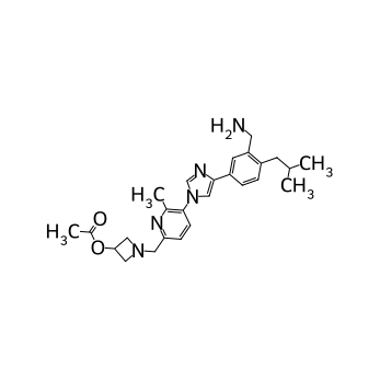 CC(=O)OC1CN(Cc2ccc(-n3cnc(-c4ccc(CC(C)C)c(CN)c4)c3)c(C)n2)C1